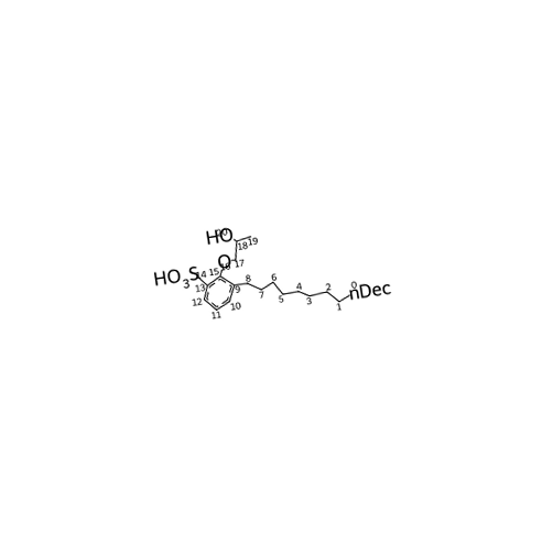 CCCCCCCCCCCCCCCCCCc1cccc(S(=O)(=O)O)c1OCC(C)O